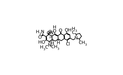 CC1CCC(C)N1Cc1cc(O)c2c(c1Cl)C[C@H]1C[C@H]3[C@H](N(C)C)C(O)=C(C(N)=O)C(=O)[C@@]3(N=O)C(O)=C1C2=O